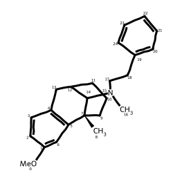 COc1ccc2c(c1)[C@@]1(C)CCCC(C2)C1N(C)CCc1ccccc1